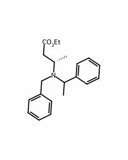 CCOC(=O)C[C@H](C)N(Cc1ccccc1)C(C)c1ccccc1